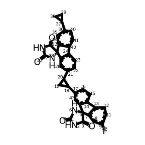 O=C1NC(=O)C2(N1)c1cc(F)ccc1-c1ccc(C3CC3c3ccc4c(c3)[C@]3(NC(=O)NC3=O)c3cc(C5CC5)ccc3-4)cc12